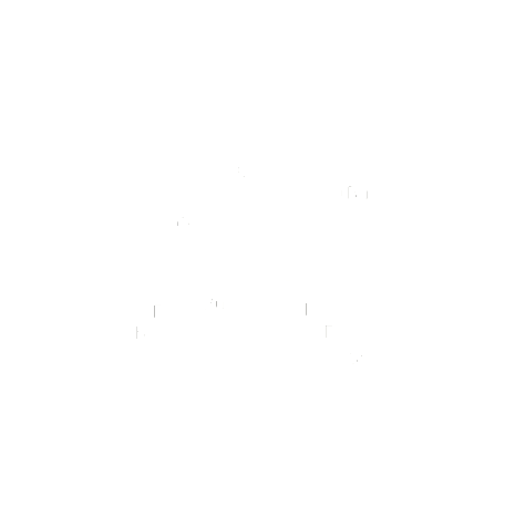 CC(C)(C)C([O-])CC([O-])C(C)(C)C.[F-].[F-].[F-].[F-].[Sb+3].[Sb+3]